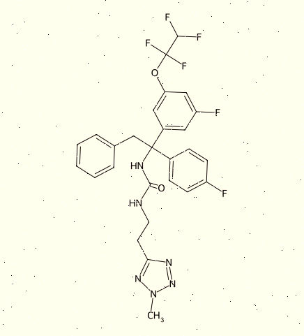 Cn1nnc(CCNC(=O)NC(Cc2ccccc2)(c2ccc(F)cc2)c2cc(F)cc(OC(F)(F)C(F)F)c2)n1